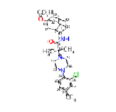 CC(C)(C(=O)NC1C2CC3CC1CC(OC(=O)O)(C3)C2)N1CCN(c2ccc(C(F)(F)F)cc2Cl)CC1